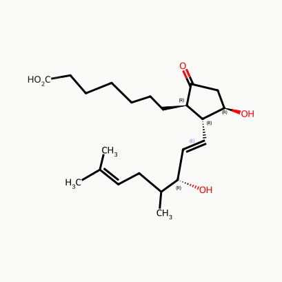 CC(C)=CCC(C)[C@@H](O)/C=C/[C@H]1[C@H](O)CC(=O)[C@@H]1CCCCCCC(=O)O